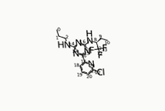 CCCNc1nc(N[C@@H](CC)C(F)(F)F)nc(-c2cccc(Cl)n2)n1